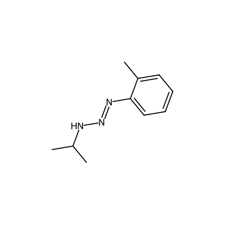 Cc1ccccc1N=NNC(C)C